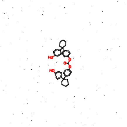 O=C(Oc1ccc(C2(c3ccc(O)cc3)CCCCC2)cc1)Oc1ccc(C2(c3ccc(O)cc3)CCCCC2)cc1